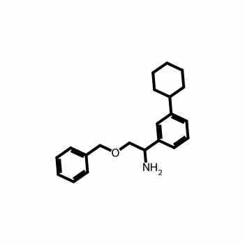 NC(COCc1ccccc1)c1cccc(C2CCCCC2)c1